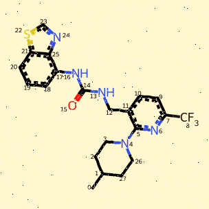 CC1CCN(c2nc(C(F)(F)F)ccc2CNC(=O)Nc2cccc3scnc23)CC1